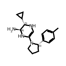 Cc1ccc([C@@H]2CCCN2C2=CN[C@@H](C3CC3)[C@H](N)N2)cc1